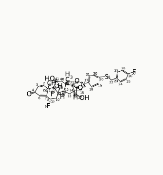 C[C@]12C=CC(=O)C=C1[C@@H](F)C[C@H]1[C@@H]3C[C@H]4CN(c5ccc(SCc6ccc(F)cc6)cc5)O[C@@]4(C(=O)CO)[C@@]3(C)C[C@H](O)[C@@]12F